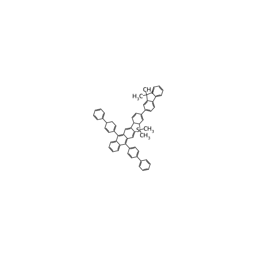 CC1(C)c2ccccc2-c2ccc(C3=CC4C(C=C3)c3cc5c(C6=CCC(c7ccccc7)C=C6)c6ccccc6c(-c6ccc(-c7ccccc7)cc6)c5cc3[Si]4(C)C)cc21